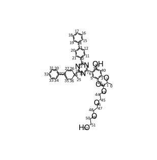 CC(Oc1ccc(-c2nc(-c3ccc(-c4ccccc4)cc3)nc(C3(C)C=CC(c4ccccc4)=CC3)n2)c(O)c1)C(=O)OCCOCCOCCO